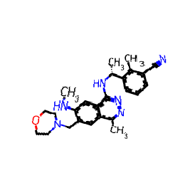 CNc1cc2c(N[C@H](C)c3cccc(C#N)c3C)nnc(C)c2cc1CN1CCOCC1